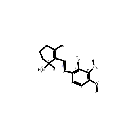 COc1ccc(/C=C/C2=C(C)CCCC2(C)N)c(Br)c1OC